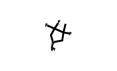 CC(C)N1CC(C)(F)C(F)(F)C1